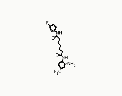 Nc1cc(C(F)(F)F)ccc1NC(=O)CCCCCC(=O)Nc1ccc(F)cc1